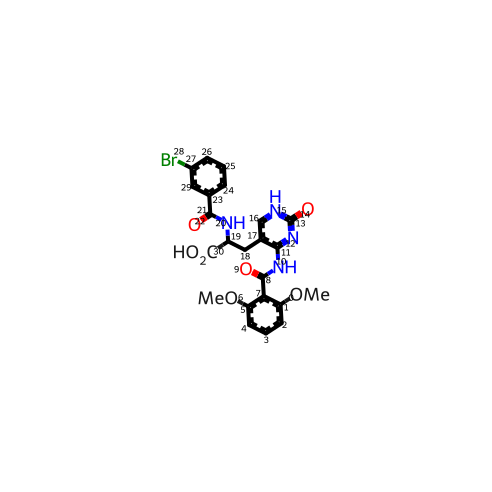 COc1cccc(OC)c1C(=O)Nc1nc(=O)[nH]cc1CC(NC(=O)c1cccc(Br)c1)C(=O)O